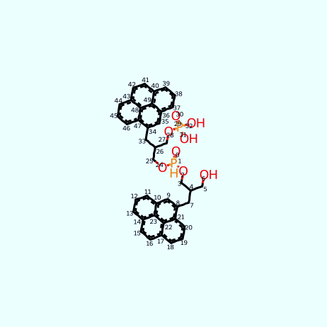 O=[PH](OCC(CO)Cc1cc2cccc3ccc4cccc1c4c32)OCC(COP(=O)(O)O)Cc1cc2cccc3ccc4cccc1c4c32